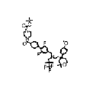 COc1ccc([C@]2(CCN(Cc3cc(F)c(C4=CCC(C(=O)N5CCN(C(=O)OC(C)(C)C)CC5)CC4)c(F)c3)CC(C)(C)C(F)(F)F)CCOC(C)(C)C2)cc1